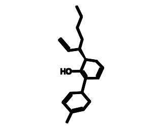 C=CC(CCCC)[C@H]1CC=CC(C2C=CC(C)=CC2)=C1O